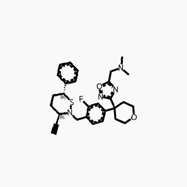 C#C[C@H]1CC[C@H](c2ccccc2)SN1Cc1ccc(C2(c3noc(CN(C)C)n3)CCOCC2)cc1F